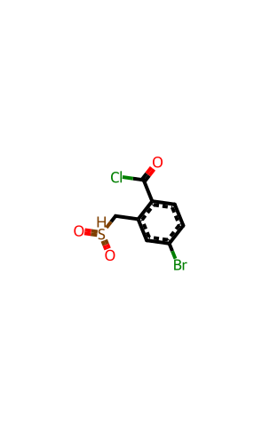 O=C(Cl)c1ccc(Br)cc1C[SH](=O)=O